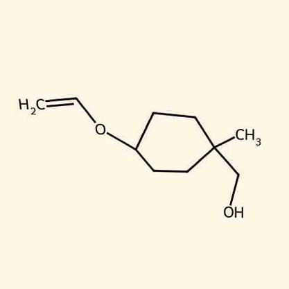 C=COC1CCC(C)(CO)CC1